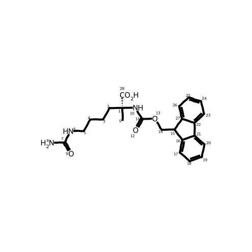 C[C@@](CCCCNC(N)=O)(NC(=O)OCC1c2ccccc2-c2ccccc21)C(=O)O